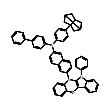 c1ccc(-c2ccc(N(c3ccc(C45CC6CC4CC6C5)cc3)c3ccc4cc(N5c6ccccc6Oc6c5n(-c5ccccc5)c5ccccc65)ccc4c3)cc2)cc1